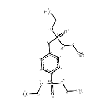 CCOP(=O)(Cc1ccc(P(=O)(OCC)OCC)cc1)OCC